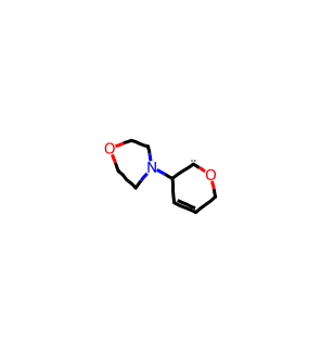 [C]1OCC=CC1N1CCOCC1